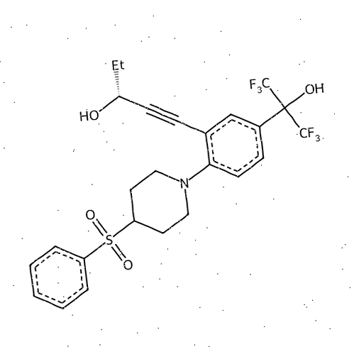 CC[C@@H](O)C#Cc1cc(C(O)(C(F)(F)F)C(F)(F)F)ccc1N1CCC(S(=O)(=O)c2ccccc2)CC1